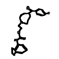 O=C(Nc1cccc2occc12)OCCN1CCC(C(=O)c2ccc(F)cc2)CC1